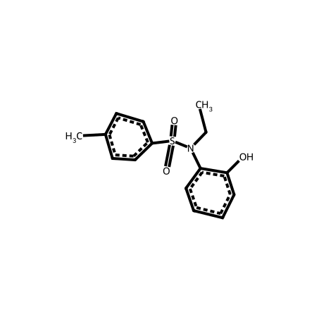 CCN(c1ccccc1O)S(=O)(=O)c1ccc(C)cc1